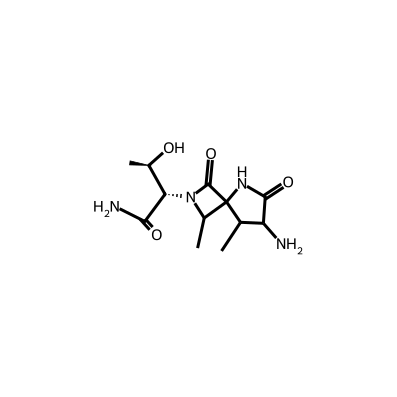 CC1C(N)C(=O)NC12C(=O)N([C@H](C(N)=O)[C@@H](C)O)C2C